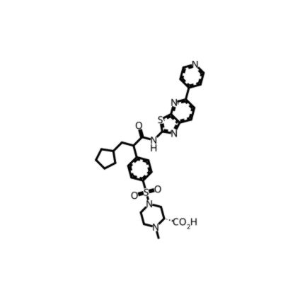 CN1CCN(S(=O)(=O)c2ccc(C(CC3CCCC3)C(=O)Nc3nc4ccc(-c5ccncc5)nc4s3)cc2)C[C@@H]1C(=O)O